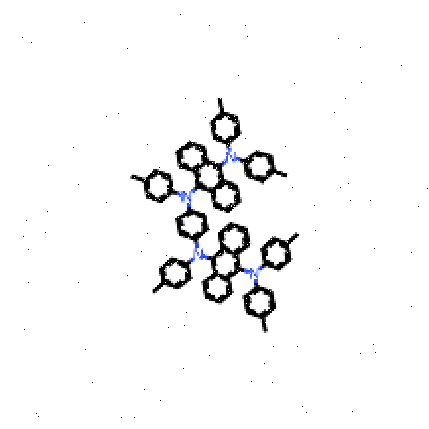 Cc1ccc(N(c2ccc(C)cc2)c2c3ccccc3c(N(c3ccc(C)cc3)c3ccc(N(c4ccc(C)cc4)c4c5ccccc5c(N(c5ccc(C)cc5)c5ccc(C)cc5)c5ccccc45)cc3)c3ccccc23)cc1